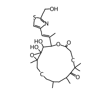 CC(=Cc1csc(CO)n1)C1OC(=O)CCC(C)(C)C(=O)C(C)CC(C)CCCC2(C)OC2(O)C1O